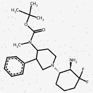 CN(C(=O)OC(C)(C)C)C1CCN([C@H]2CCCC(F)(F)[C@@H]2N)CC1c1ccccc1